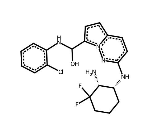 N[C@@H]1[C@H](Nc2ccc3ccc(C(O)Nc4ccccc4Cl)n3n2)CCCC1(F)F